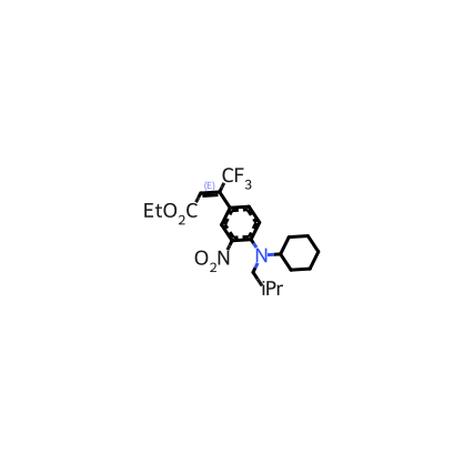 CCOC(=O)/C=C(\c1ccc(N(CC(C)C)C2CCCCC2)c([N+](=O)[O-])c1)C(F)(F)F